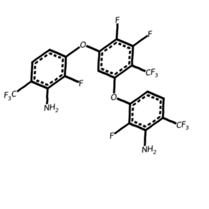 Nc1c(C(F)(F)F)ccc(Oc2cc(Oc3ccc(C(F)(F)F)c(N)c3F)c(C(F)(F)F)c(F)c2F)c1F